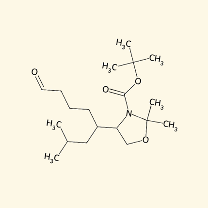 CC(C)CC(CCCC=O)C1COC(C)(C)N1C(=O)OC(C)(C)C